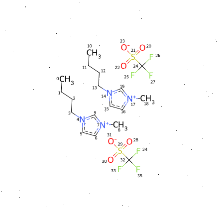 CCCCn1cc[n+](C)c1.CCCCn1cc[n+](C)c1.O=S(=O)([O-])C(F)(F)F.O=S(=O)([O-])C(F)(F)F